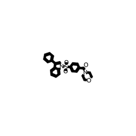 O=C(c1ccc(S(=O)(=O)n2cc(-c3ccccc3)c3ccccc32)cc1)N1CCOCC1